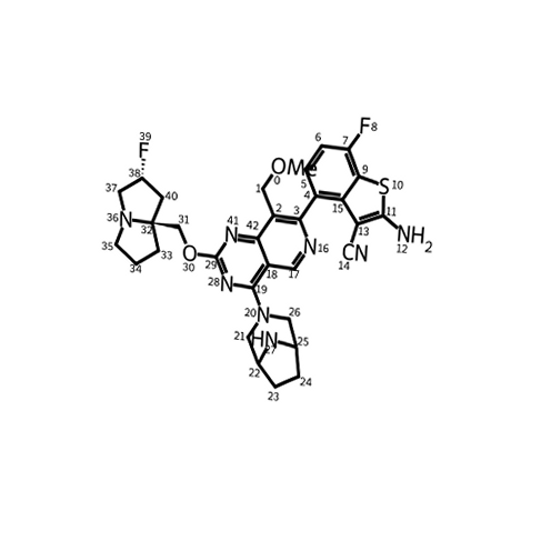 COCc1c(-c2ccc(F)c3sc(N)c(C#N)c23)ncc2c(N3CC4CCC(C3)N4)nc(OC[C@@]34CCCN3C[C@H](F)C4)nc12